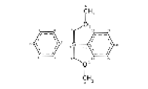 COCS(COC)(c1ccccc1)c1ccccc1